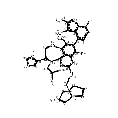 N#Cc1c(N)sc2c(F)ccc(-c3c(Cl)c4c5c(nc(OC[C@@]67CCCN6C[C@H](F)C7)nc5c3F)N(CC(F)F)C(c3cscn3)CO4)c12